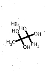 Br.CC(O)(O)C(O)(O)P